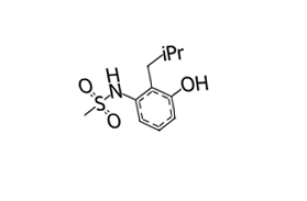 CC(C)Cc1c(O)cccc1NS(C)(=O)=O